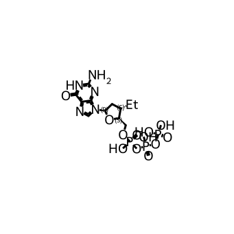 CC[C@H]1C[C@H](n2cnc3c(=O)[nH]c(N)nc32)O[C@@H]1COP(=O)(O)OP(=O)(O)OP(=O)(O)O